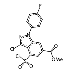 COC(=O)c1cc(S(=O)(=O)Cl)c2c(Cl)nn(-c3ccc(F)cc3)c2c1